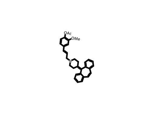 COc1cc(C=CCN2CCC(=C3c4ccccc4C=Cc4ccccc43)CC2)ccc1OC(C)=O